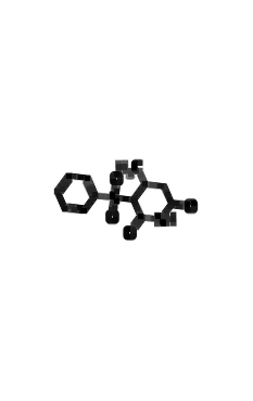 CC1CC(=O)NC(=O)C1S(=O)(=O)c1ccccc1